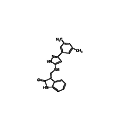 Cc1cc(C)cc(-c2cc(N/C=C3/C(=O)Nc4ccccc43)[nH]n2)c1